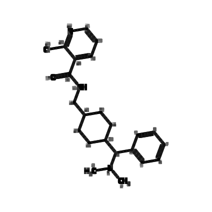 CN(C)C(c1ccccc1)C1CCC(CNC(=O)c2cccnc2Cl)CC1